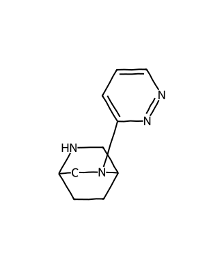 c1cnnc(N2CC3CCC2CN3)c1